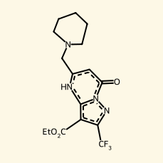 CCOC(=O)c1c(C(F)(F)F)nn2c(=O)cc(CN3CCCCC3)[nH]c12